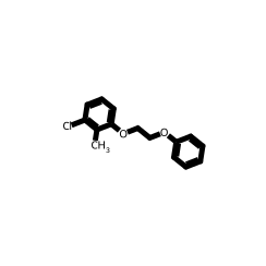 Cc1c(Cl)cccc1OCCOc1ccccc1